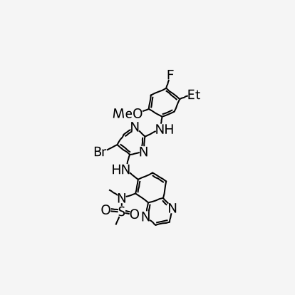 CCc1cc(Nc2ncc(Br)c(Nc3ccc4nccnc4c3N(C)S(C)(=O)=O)n2)c(OC)cc1F